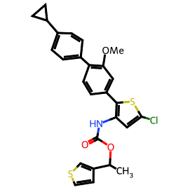 COc1cc(-c2sc(Cl)cc2NC(=O)OC(C)c2ccsc2)ccc1-c1ccc(C2CC2)cc1